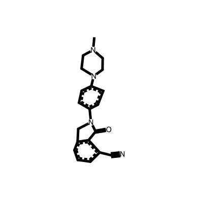 CN1CCN(c2ccc(N3Cc4cccc(C#N)c4C3=O)cc2)CC1